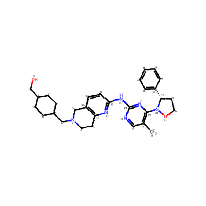 OCC1CCC(CN2CCc3nc(Nc4ncc(C(F)(F)F)c(N5OCC[C@H]5c5ccccc5)n4)ccc3C2)CC1